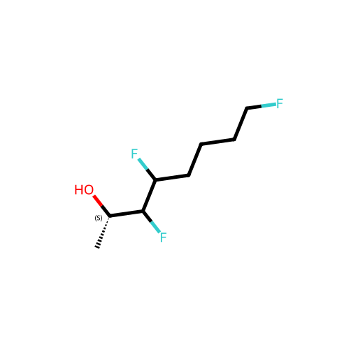 C[C@H](O)C(F)C(F)CCCCF